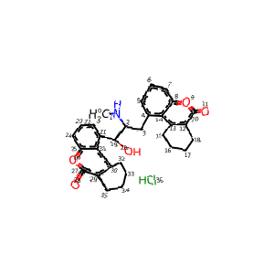 CNC(Cc1cccc2oc(=O)c3c(c12)CCCC3)C(O)c1cccc2oc(=O)c3c(c12)CCCC3.Cl